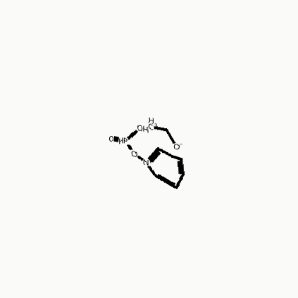 CC[O-].O=[PH](O)O[n+]1ccccc1